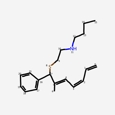 C=C/C=C\C=C(/C)C(SCCNCCCC)c1ccccc1